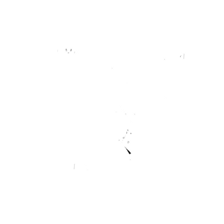 [2H]OC1C=C[C@@H]2[C@@]34CCN(C)[C@]2([2H])Cc2ccc(OC)c(c23)OC14